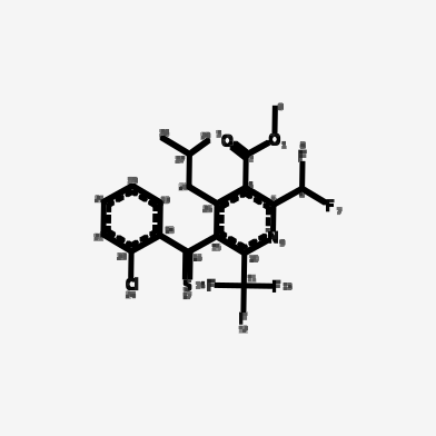 COC(=O)c1c(C(F)F)nc(C(F)(F)F)c(C(=S)c2ccccc2Cl)c1CC(C)C